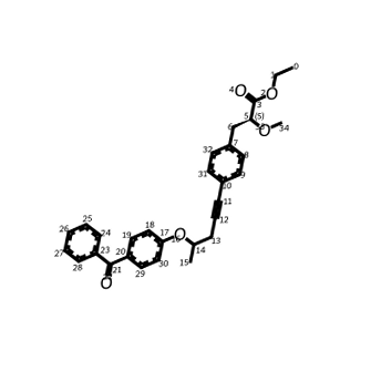 CCOC(=O)[C@H](Cc1ccc(C#CCC(C)Oc2ccc(C(=O)c3ccccc3)cc2)cc1)OC